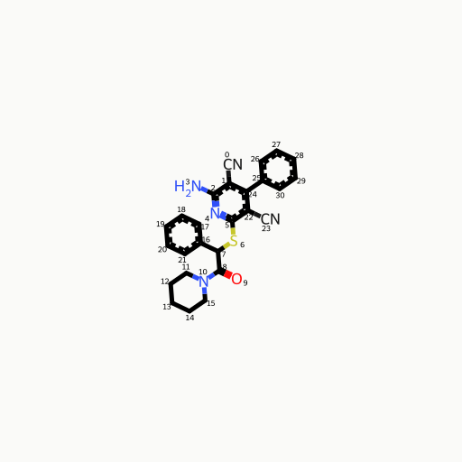 N#Cc1c(N)nc(SC(C(=O)N2CCCCC2)c2ccccc2)c(C#N)c1-c1ccccc1